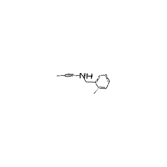 CC#CNCc1ccccc1C